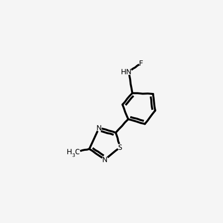 Cc1nsc(-c2cccc(NF)c2)n1